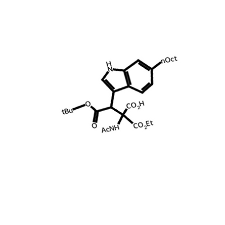 CCCCCCCCc1ccc2c(C(C(=O)OC(C)(C)C)C(NC(C)=O)(C(=O)O)C(=O)OCC)c[nH]c2c1